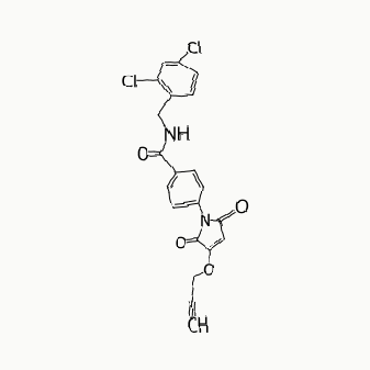 C#CCOC1=CC(=O)N(c2ccc(C(=O)NCc3ccc(Cl)cc3Cl)cc2)C1=O